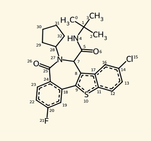 CC(C)(C)NC(=O)C1c2c(sc3ccc(Cl)cc23)-c2cc(F)ccc2C(=O)N1C1CCCC1